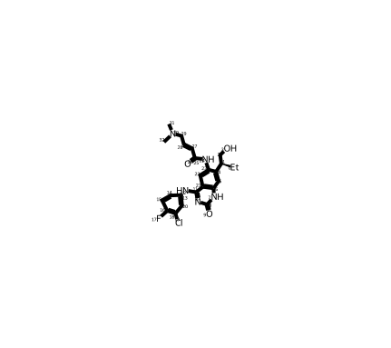 CC[C@H](CO)c1cc2[nH]c(=O)nc(Nc3ccc(F)c(Cl)c3)c2cc1NC(=O)C=CCN(C)C